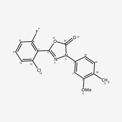 COc1cc(-n2nc(-c3c(F)cccc3Cl)oc2=O)ccc1C